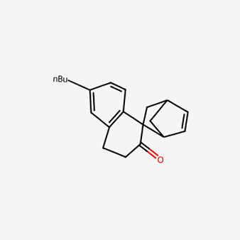 CCCCc1ccc2c(c1)CCC(=O)C21CC2C=CC1C2